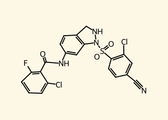 N#Cc1ccc(S(=O)(=O)N2NCc3ccc(NC(=O)c4c(F)cccc4Cl)cc32)c(Cl)c1